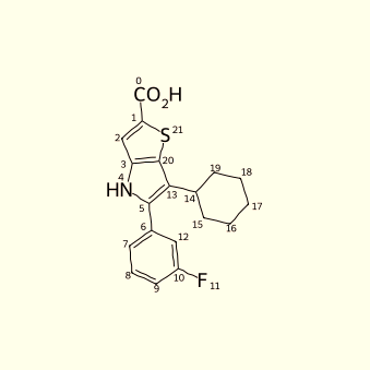 O=C(O)c1cc2[nH]c(-c3cccc(F)c3)c(C3CCCCC3)c2s1